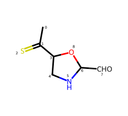 CC(=S)C1CNC(C=O)O1